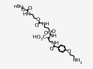 CCCCOC(=O)NCCOC(=O)NCCS(=O)(=O)N[C@@H](CNC(=O)c1ccc(OCCN)cc1)C(=O)O